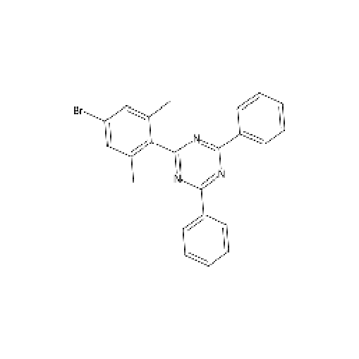 Cc1cc(Br)cc(C)c1-c1nc(-c2ccccc2)nc(-c2ccccc2)n1